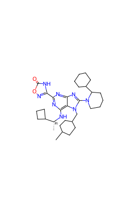 CC1CCC(Cn2c(N3CCCCC3C3CCCCC3)nc3nc(-c4noc(=O)[nH]4)nc(N[C@H](C)C4CCC4)c32)CC1